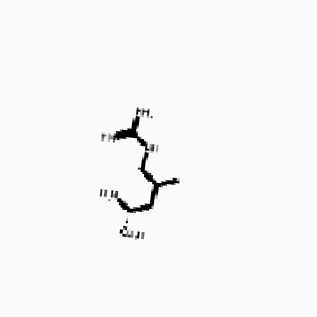 CC(CNC(=N)N)C[C@@H](N)C(=O)O